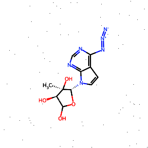 C[C@@]1(O)[C@H](O)C(O)O[C@H]1n1ccc2c(N=[N+]=[N-])ncnc21